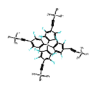 CC(C)[Si](C#Cc1c(F)c(F)c([B-](c2c(F)c(F)c(C#C[Si](C(C)C)(C(C)C)C(C)C)c(F)c2F)(c2c(F)c(F)c(C#C[Si](C(C)C)(C(C)C)C(C)C)c(F)c2F)c2c(F)c(F)c(C#C[Si](C(C)C)(C(C)C)C(C)C)c(F)c2F)c(F)c1F)(C(C)C)C(C)C